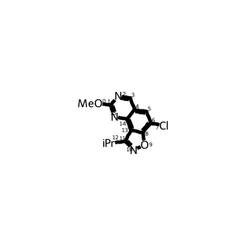 COc1ncc2cc(Cl)c3onc(C(C)C)c3c2n1